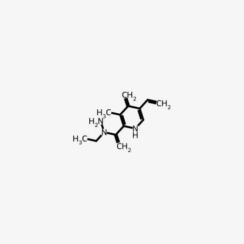 C=CC1=CNC(C(=C)N(N)CC)=C(C)C1=C